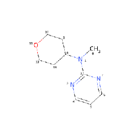 CN(c1ncccn1)C1CCOCC1